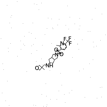 Cc1nc(C(F)(F)F)ccc1S(=O)(=O)N1CC2CC(NCC3(C)COC3)CC2C1